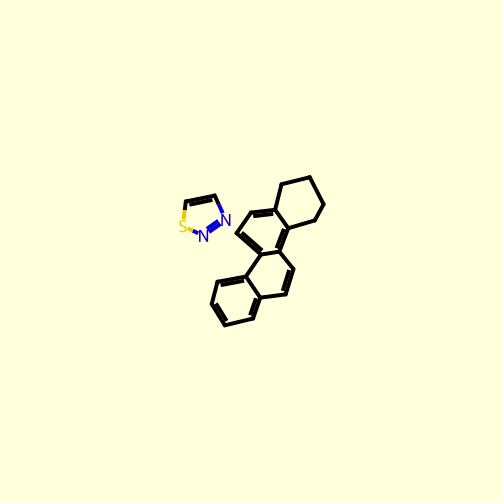 c1ccc2c(c1)ccc1c3c(ccc12)CCCC3.c1csnn1